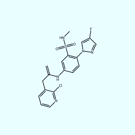 C=C(Cc1cccnc1Cl)Nc1ccc(-n2cc(F)cn2)c(S(=O)(=O)NC)c1